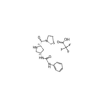 O=C(Nc1ccccc1)N[C@@H]1CN[C@H](C(=O)N2CCSC2)C1.O=C(O)C(F)(F)F